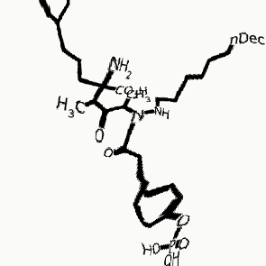 CCCCCCCCCCCCCCCCNN(C(=O)CCc1ccc(OP(=O)(O)O)cc1)C(C)C(=O)C(C)C(N)(CCCC1CCCCC1)C(=O)O